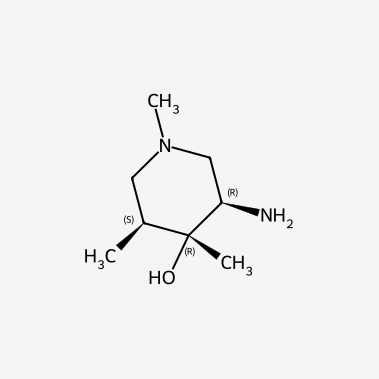 C[C@H]1CN(C)C[C@@H](N)[C@]1(C)O